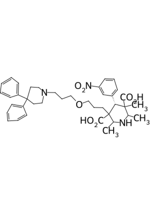 CC1NC(C)C(CCCOCCCN2CCC(c3ccccc3)(c3ccccc3)CC2)(C(=O)O)[C@H](c2cccc([N+](=O)[O-])c2)C1(C)C(=O)O